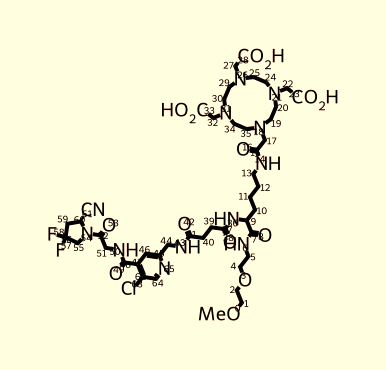 COCCOCCNC(=O)C(CCCCNC(=O)CN1CCN(CC(=O)O)CCN(CC(=O)O)CCN(CC(=O)O)CC1)NC(=O)CCC(=O)NCc1cc(C(=O)NCC(=O)N2CC(F)(F)C[C@H]2C#N)c(Cl)cn1